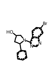 OC1CC(c2ccccc2)N(c2ncnc3cc(Br)ccc23)C1